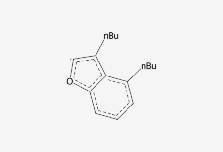 CCCCc1[c]oc2cccc(CCCC)c12